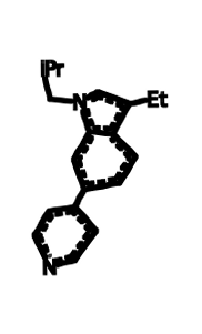 CCc1cn(CC(C)C)c2cc(-c3ccncc3)ccc12